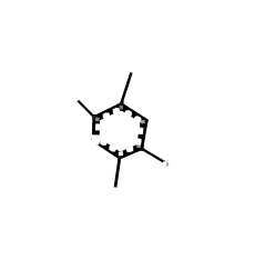 Cc1cc(C(C)C)c(C)nc1C